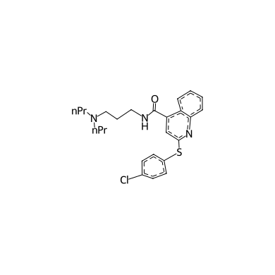 CCCN(CCC)CCCNC(=O)c1cc(Sc2ccc(Cl)cc2)nc2ccccc12